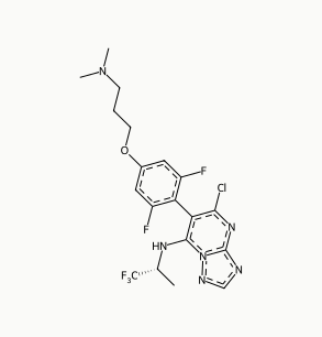 C[C@@H](Nc1c(-c2c(F)cc(OCCCN(C)C)cc2F)c(Cl)nc2ncnn12)C(F)(F)F